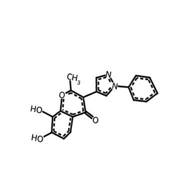 Cc1oc2c(O)c(O)ccc2c(=O)c1-c1cnn(-c2ccccc2)c1